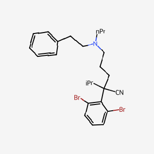 CCCN(CCCC(C#N)(c1c(Br)cccc1Br)C(C)C)CCc1ccccc1